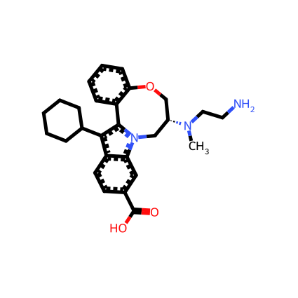 CN(CCN)[C@H]1COc2ccccc2-c2c(C3CCCCC3)c3ccc(C(=O)O)cc3n2C1